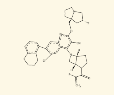 C=C(F)C(=O)C1CC[C@@H]2[C@H]1CN2c1c(C#N)c(OC[C@@]23CCCN2C[C@H](F)C3)nc2cc(-c3cccc4c3CCCC4)c(Cl)cc12